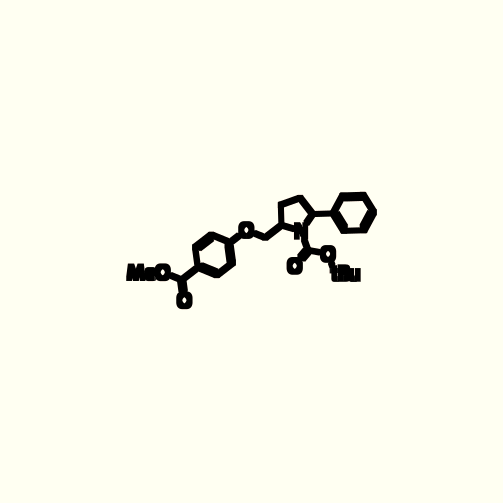 COC(=O)c1ccc(OCC2CCC(c3ccccc3)N2C(=O)OC(C)(C)C)cc1